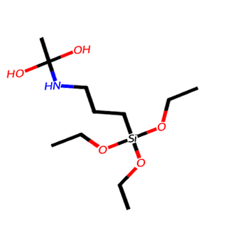 CCO[Si](CCCNC(C)(O)O)(OCC)OCC